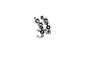 [3H]C([3H])([3H])Oc1ccc(-c2cn3ccc(N4CCC4)nc3n2)cc1.[3H]c1cc(OC)cc([3H])c1-c1cn2ccc(N3CCC(F)CC3)nc2n1